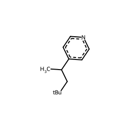 CC(CC(C)(C)C)c1ccncc1